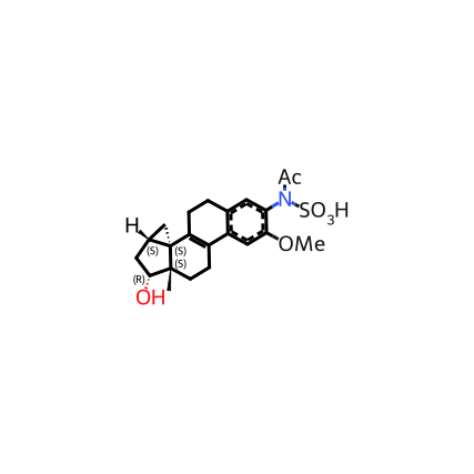 COc1cc2c(cc1N(C(C)=O)S(=O)(=O)O)CCC1=C2CC[C@]2(C)[C@H](O)C[C@@H]3C[C@@]132